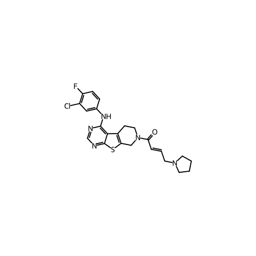 O=C(/C=C/CN1CCCC1)N1CCc2c(sc3ncnc(Nc4ccc(F)c(Cl)c4)c23)C1